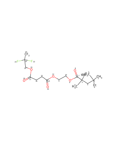 CCC(C)(C)CC(C)(C(=O)OCCOC(=O)CCC(=O)OCC(F)(F)C(F)(F)F)C(C)(C)C